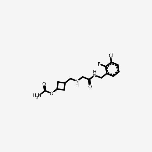 NC(=O)OC1CC(CNCC(=O)NCc2cccc(Cl)c2F)C1